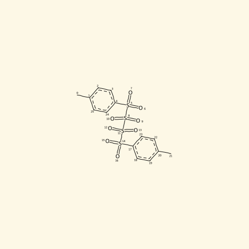 Cc1ccc(S(=O)(=O)S(=O)(=O)S(=O)(=O)S(=O)(=O)c2ccc(C)cc2)cc1